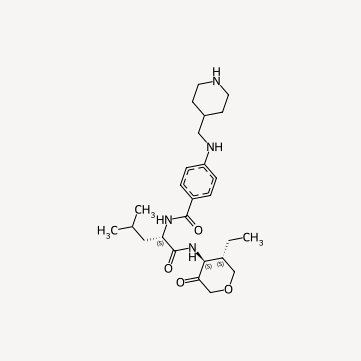 CC[C@@H]1COCC(=O)[C@H]1NC(=O)[C@H](CC(C)C)NC(=O)c1ccc(NCC2CCNCC2)cc1